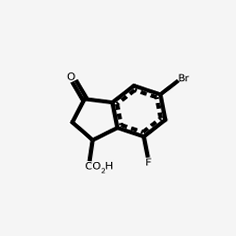 O=C1CC(C(=O)O)c2c(F)cc(Br)cc21